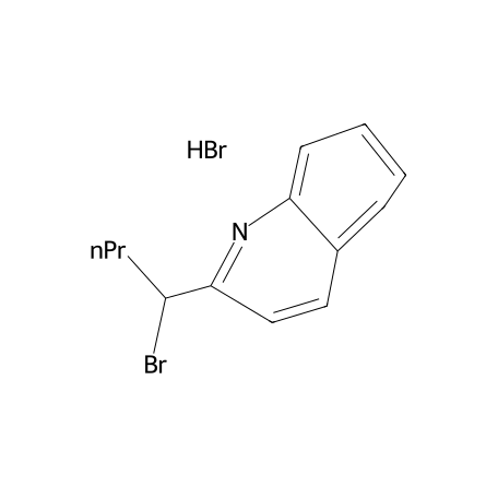 Br.CCCC(Br)c1ccc2ccccc2n1